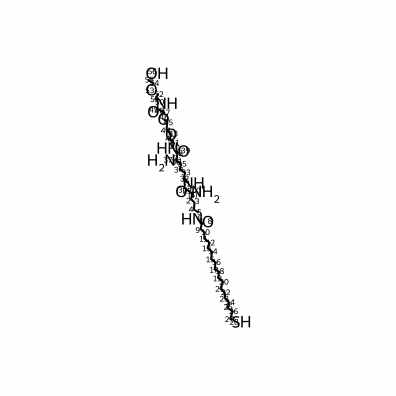 N[C@@H](CCCCNC(=O)CCCCCCCCCCCCCCCCCCCS)C(=O)NCCCC[C@H](N)C(=O)NCCOCCOCC(=O)NCCOCCO